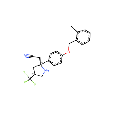 Cc1ccccc1COc1ccc([C@@]2(CC#N)C[C@H](C(F)(F)F)CN2)cc1